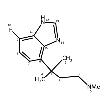 CNCCC(C)(C)c1ccc(F)c2[nH]cnc12